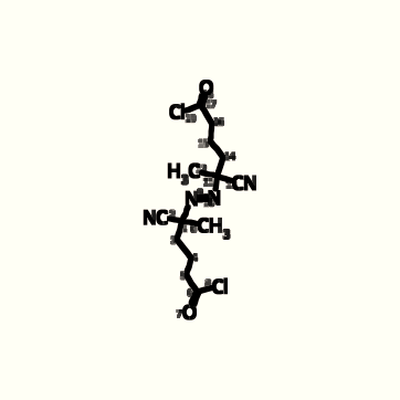 CC(C#N)(CCCC(=O)Cl)N=NC(C)(C#N)CCCC(=O)Cl